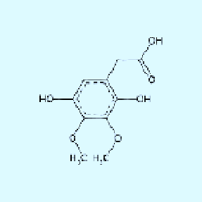 COc1c(O)cc(CC(=O)O)c(O)c1OC